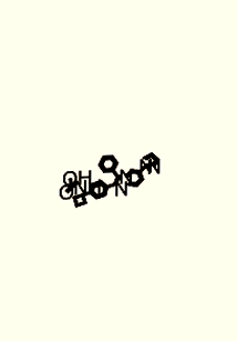 O=C(O)NC1(c2ccc(-c3nc4ccc(-n5cccn5)cn4c3-c3ccccc3)cc2)CCC1